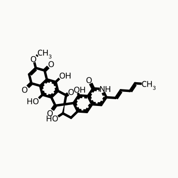 C/C=C/C=C/c1cc2cc3c(c(O)c2c(=O)[nH]1)[C@@]1(C(=O)c2c(O)c4c(c(O)c2C1=O)C(=O)C(OC)=CC4=O)C(O)C3